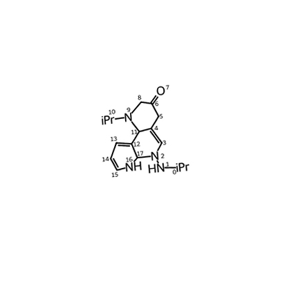 CC(C)NN1C=C2CC(=O)CN(C(C)C)C2C2=CC=CNC21